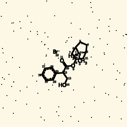 C[N+]1(C)C2CCC1CC(OC(=O)C(CO)c1ccccc1)C2.[Br-]